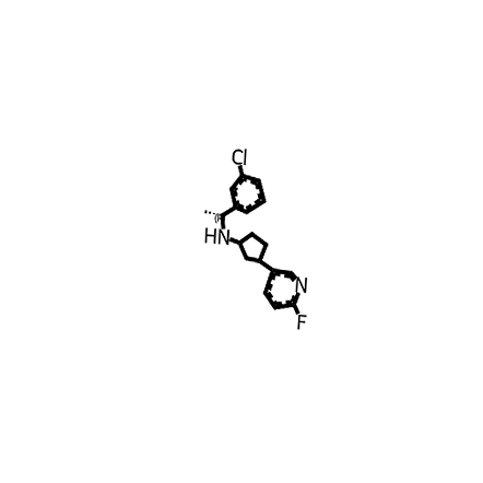 C[C@@H](NC1CCC(c2ccc(F)nc2)C1)c1cccc(Cl)c1